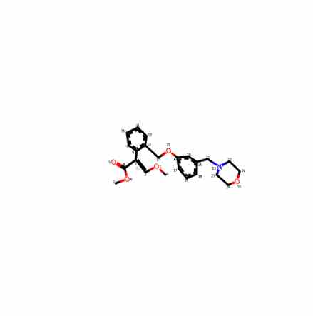 CO/C=C(/C(=O)OC)c1ccccc1COc1cccc(CN2CCOCC2)c1